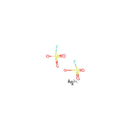 O=S(=O)([O-])F.O=S(=O)([O-])F.[Ag+2]